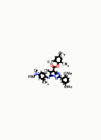 [C-]#[N+]C1=C(C(=O)OC2C(C)CC(C)CC2C)c2nc(-c3cc(OC)ccc3OC)nn2/C1=N/c1ccc(N(CC)CCCC)cc1C